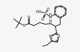 CCc1csc(C(Cc2ccccc2NS(=O)(=O)O)NCCCC(=O)OC(C)(C)C)n1